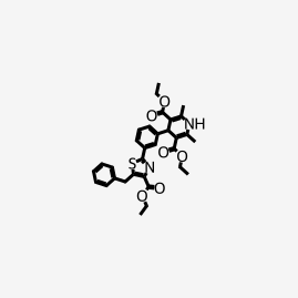 CCOC(=O)C1=C(C)NC(C)=C(C(=O)OCC)C1c1cccc(-c2nc(C(=O)OCC)c(Cc3ccccc3)s2)c1